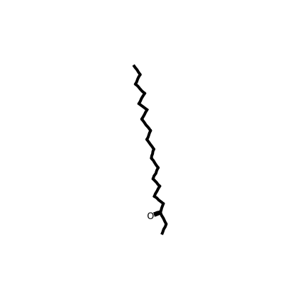 CCCCCCCCCCCCCCCCC(=O)CC